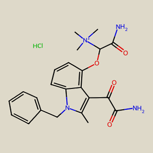 Cc1c(C(=O)C(N)=O)c2c(OC(C(N)=O)[N+](C)(C)C)cccc2n1Cc1ccccc1.Cl